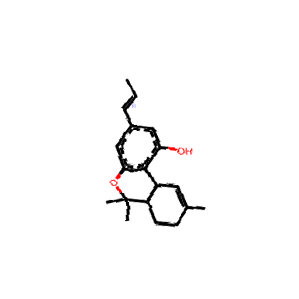 C/C=C/c1cc(O)c2c(c1)OC(C)(C)C1CCC(C)=CC21